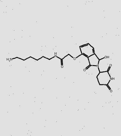 NCCCCCCNC(=O)COc1cccc2c1C(=O)N(C1CCC(=O)NC1=O)C2O